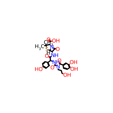 CC1(C)S[C@@H]2[C@H](NC(=O)C(NC(=O)N(CCCO)C(=O)c3ccc(O)c(O)c3)c3ccc(O)cc3)C(=O)N2[C@H]1C(=O)O